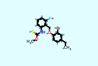 CCc1ccc(OCc2c(F)cccc2NC(=S)OC)c(Br)c1